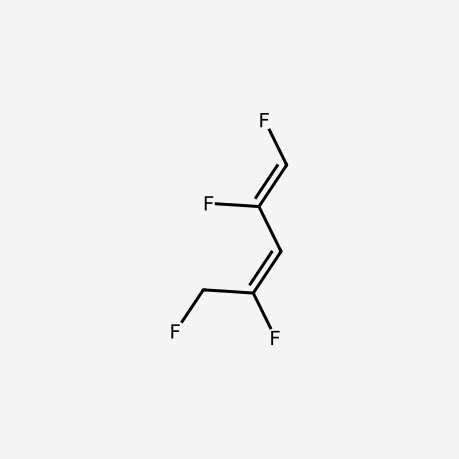 F/C=C(F)/C=C(/F)CF